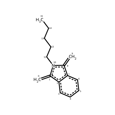 C=c1c2ccccc2c(=C)n1CCCCC